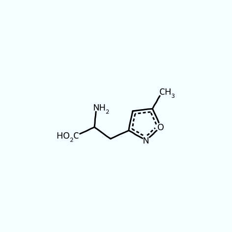 Cc1cc(CC(N)C(=O)O)no1